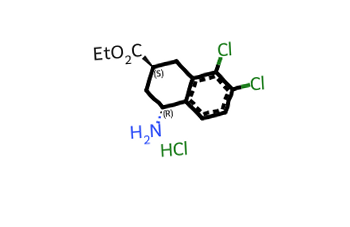 CCOC(=O)[C@H]1Cc2c(ccc(Cl)c2Cl)[C@H](N)C1.Cl